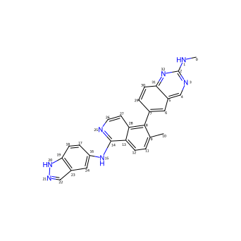 CNc1ncc2cc(-c3c(C)ccc4c(Nc5ccc6[nH]ncc6c5)nccc34)ccc2n1